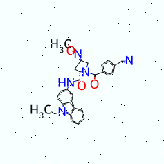 CCn1c2ccccc2c2cc(NC(=O)[C@@H]3C/C(=N\OC)CN3C(=O)c3ccc(C#N)cc3)ccc21